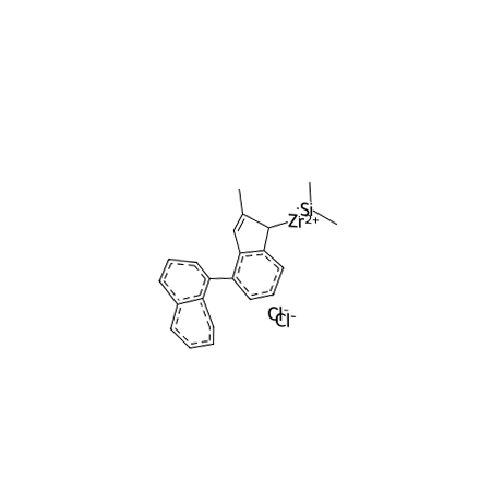 CC1=Cc2c(-c3cccc4ccccc34)cccc2[CH]1[Zr+2][Si](C)C.[Cl-].[Cl-]